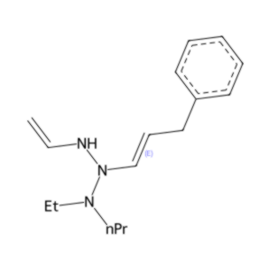 C=CNN(/C=C/Cc1ccccc1)N(CC)CCC